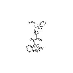 [2H]C([2H])([2H])O[C@H](C(=O)Nc1nnc(NC2(c3cccnn3)CCNC2)s1)c1ccccc1